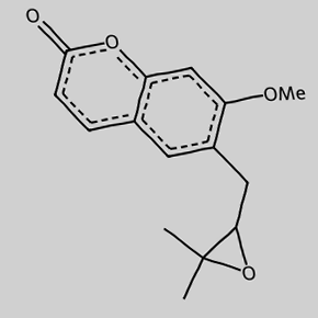 COc1cc2oc(=O)ccc2cc1CC1OC1(C)C